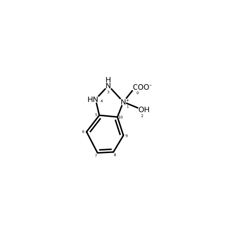 O=C([O-])[N+]1(O)NNc2ccccc21